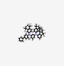 Cc1cc2c3c(c1)N(c1cccc4c1-c1ccccc1C4(C)C)c1cc4c(cc1B3c1cc3c(cc1N2c1ccc(-c2ccccc2)cc1C)C(C)(C)CCC3(C)C)C(C)(C)CC4(C)C